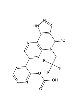 O=C(O)Oc1ncccc1-c1cnc2c3[nH]ncc3c(=O)n(CC(F)(F)F)c2c1